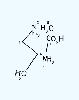 NC(=O)O.NCCO.O